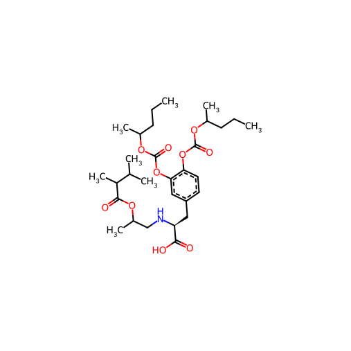 CCCC(C)OC(=O)Oc1ccc(C[C@H](NCC(C)OC(=O)C(C)C(C)C)C(=O)O)cc1OC(=O)OC(C)CCC